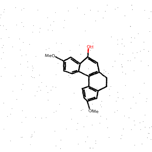 COc1ccc2c(c1)CCc1cc(O)c3cc(OC)ccc3c1-2